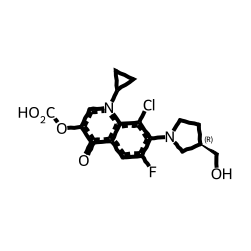 O=C(O)Oc1cn(C2CC2)c2c(Cl)c(N3CC[C@@H](CO)C3)c(F)cc2c1=O